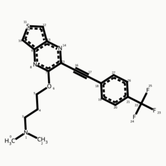 CN(C)CCCOc1nc2cscc2nc1C#Cc1ccc(C(F)(F)F)cc1